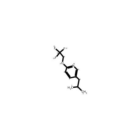 CC(C)Cc1ccc(OCC(F)(F)F)nc1